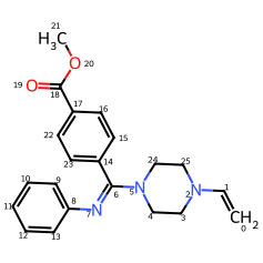 C=CN1CCN(C(=Nc2ccccc2)c2ccc(C(=O)OC)cc2)CC1